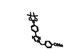 COc1ccc(Cn2cnc(-c3ccc(B4OC(C)(C)C(C)(C)O4)cc3)n2)cc1